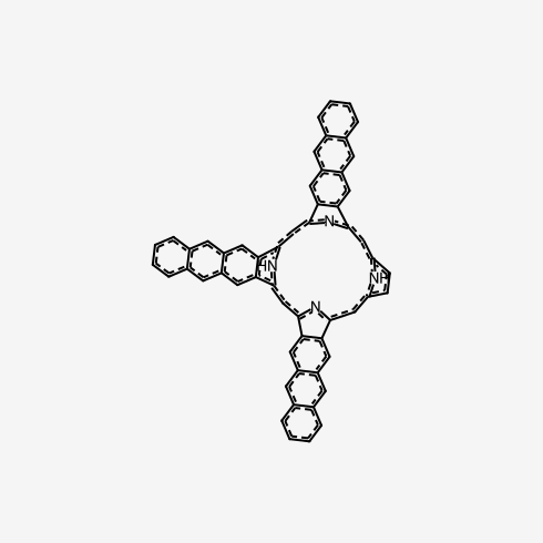 c1ccc2cc3cc4c(cc3cc2c1)-c1cc2ccc(cc3nc(cc5[nH]c(cc-4n1)c1cc4cc6ccccc6cc4cc51)-c1cc4cc5ccccc5cc4cc1-3)[nH]2